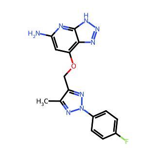 Cc1nn(-c2ccc(F)cc2)nc1COc1cc(N)nc2[nH]nnc12